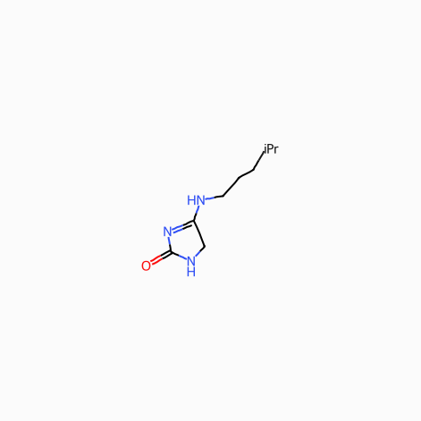 CC(C)CCCNC1=NC(=O)NC1